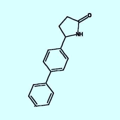 O=C1CCC(c2ccc(-c3cc[c]cc3)cc2)N1